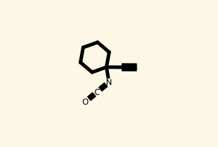 C#CC1(N=C=O)CCCCC1